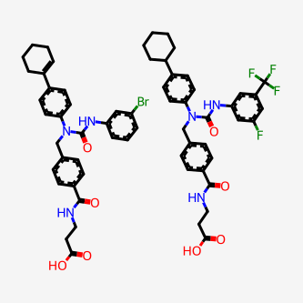 O=C(O)CCNC(=O)c1ccc(CN(C(=O)Nc2cc(F)cc(C(F)(F)F)c2)c2ccc(C3CCCCC3)cc2)cc1.O=C(O)CCNC(=O)c1ccc(CN(C(=O)Nc2cccc(Br)c2)c2ccc(C3=CCCCC3)cc2)cc1